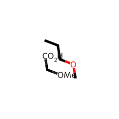 CCCOC.COCC(=O)O